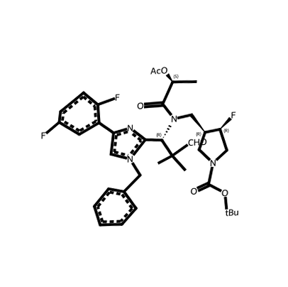 CC(=O)O[C@@H](C)C(=O)N(C[C@@H]1CN(C(=O)OC(C)(C)C)C[C@@H]1F)[C@@H](c1nc(-c2cc(F)ccc2F)cn1Cc1ccccc1)C(C)(C)C=O